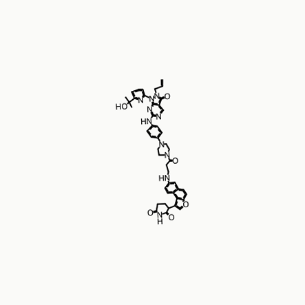 C=CCn1c(=O)c2cnc(Nc3ccc(N4CCN(C(=O)CCNc5ccc6c(ccc7occ(C8CCC(=O)NC8=O)c76)c5)CC4)cc3)nc2n1-c1cccc(C(C)(C)O)n1